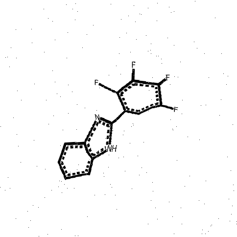 Fc1cc(-c2nc3ccccc3[nH]2)c(F)c(F)c1F